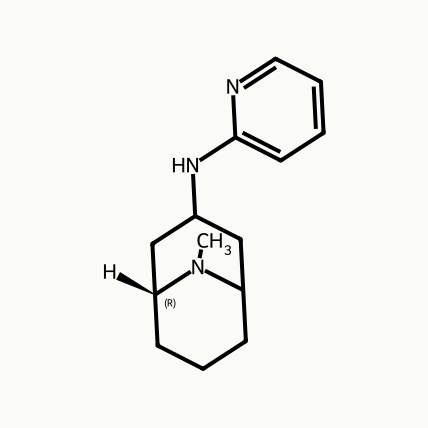 CN1C2CCC[C@@H]1CC(Nc1ccccn1)C2